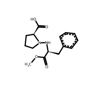 COC(=O)[C@H](Cc1ccccc1)NN1CCC[C@H]1C(=O)O